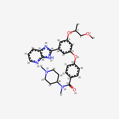 COCC(C)Oc1cc(Oc2ccc(C(=O)N(C)C3CCN(C)CC3)cc2)cc(-c2nc3cccnc3[nH]2)c1